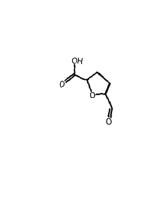 O=CC1CCC(C(=O)O)O1